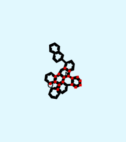 c1ccc(-c2ccccc2-c2c(-c3ccccc3)cccc2-c2ccccc2N(c2cccc(-c3ccc4ccccc4c3)c2)c2ccc3oc4ccccc4c3c2)cc1